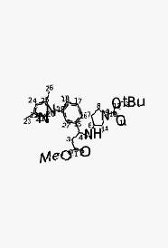 COC(=O)CC(N[C@H]1CCN(C(=O)OC(C)(C)C)C1)c1cccc(-n2nc(C)cc2C)c1